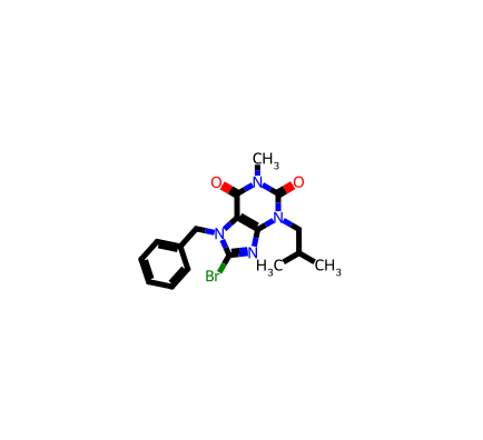 CC(C)Cn1c(=O)n(C)c(=O)c2c1nc(Br)n2Cc1ccccc1